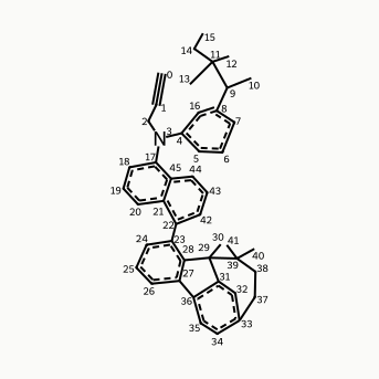 C#CCN(c1cccc(C(C)C(C)(C)CC)c1)c1cccc2c(-c3cccc4c3C3(C)c5cc(ccc5-4)CCC3(C)C)cccc12